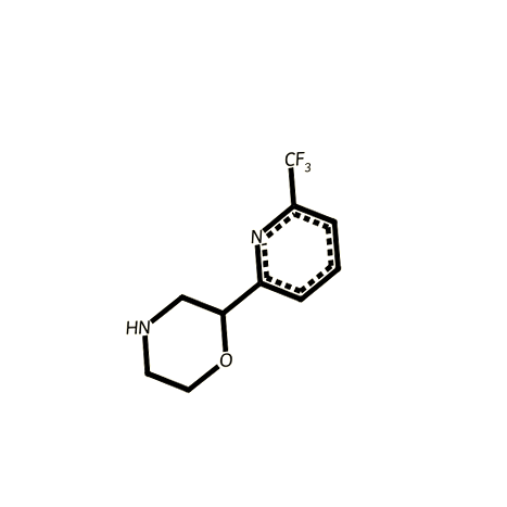 FC(F)(F)c1cccc(C2CNCCO2)n1